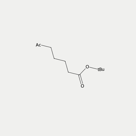 CC(=O)CCCCC(=O)OC(C)(C)C